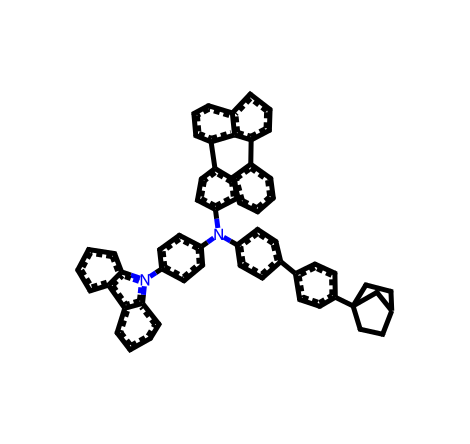 c1ccc(-c2cccc3cccc(-c4ccc(N(c5ccc(-c6ccc(C78CCC(CC7)C8)cc6)cc5)c5ccc(-n6c7ccccc7c7ccccc76)cc5)cc4)c23)cc1